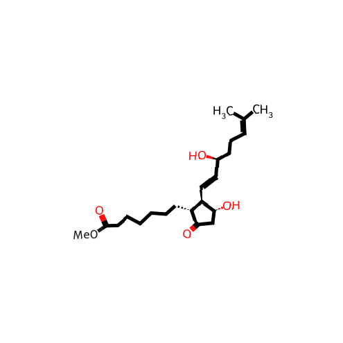 COC(=O)CCCCCC[C@H]1C(=O)C[C@@H](O)[C@@H]1/C=C/[C@@H](O)CCC=C(C)C